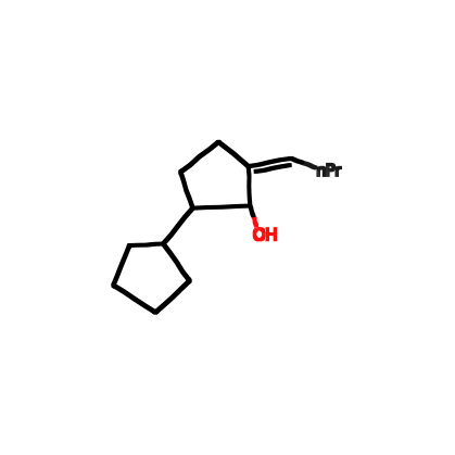 CCCC=C1CCC(C2CCCC2)C1O